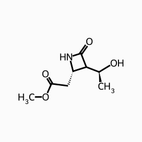 COC(=O)C[C@@H]1NC(=O)C1[C@H](C)O